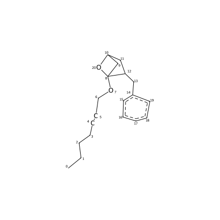 CCCCCCCOC12CC(CC1Cc1ccccc1)O2